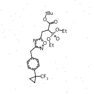 CCOP(=O)(OCC)C(Cc1nc(Cc2ccc(C3(C(F)(F)F)CC3)cc2)no1)C(=O)OC(C)(C)C